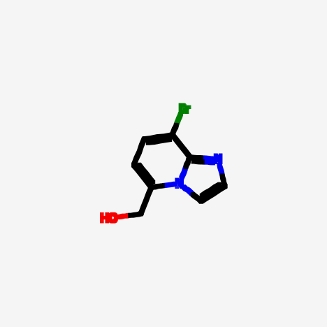 OCc1ccc(Br)c2nccn12